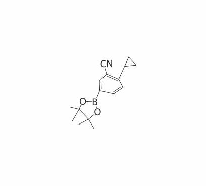 CC1(C)OB(c2ccc(C3CC3)c(C#N)c2)OC1(C)C